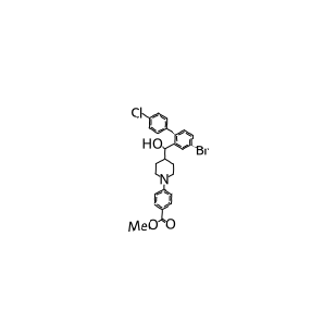 COC(=O)c1ccc(N2CCC(C(O)c3cc(Br)ccc3-c3ccc(Cl)cc3)CC2)cc1